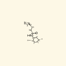 Cc1ccc(C)c(NC(=O)CCN)c1